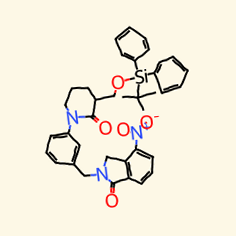 CC(C)(C)[Si](OCC1CCCN(c2cccc(CN3Cc4c(cccc4[N+](=O)[O-])C3=O)c2)C1=O)(c1ccccc1)c1ccccc1